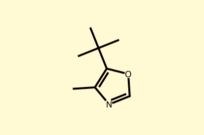 Cc1ncoc1C(C)(C)C